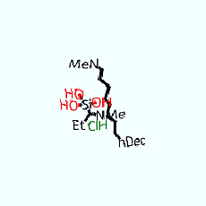 CCC(NC)[Si](O)(O)O.CCCCCCCCCCCCCCCCCCNC.Cl